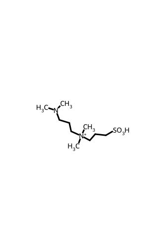 CN(C)CCC[N+](C)(C)CCCS(=O)(=O)O